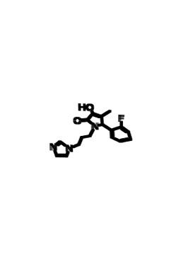 CC1=C(O)C(=O)N(CCCn2ccnc2)C1c1ccccc1F